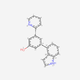 Oc1cc(-c2ccccn2)cc(-c2cccc3[nH]ccc23)c1